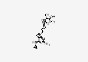 CCOC(O)[C@@H](C)N[PH](=O)COCCn1cnc2c(NC3CC3)nc(N)nc21